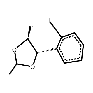 [CH2][C@@H]1OC(C)O[C@H]1c1ccccc1I